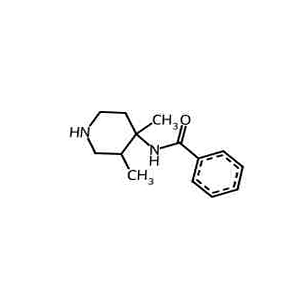 CC1CNCCC1(C)NC(=O)c1ccccc1